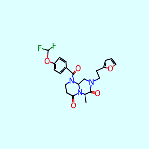 CC1C(=O)N(CCc2ccco2)CC2N(C(=O)c3ccc(OC(F)F)cc3)CCC(=O)N12